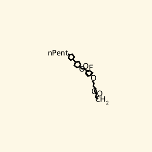 C=CC(=O)OCCCCOc1ccc(C(=O)OC2CCC(C3CCC(CCCCC)CC3)CC2)c(F)c1